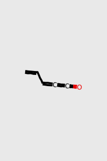 C=CC=C=C=O